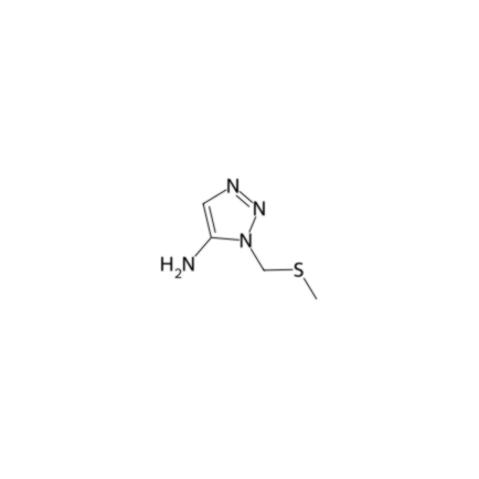 CSCn1nncc1N